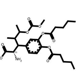 CCCCC(=O)Oc1ccc(C(C(C)C(C)OC(=O)OC)[C@H](N)C(=O)O)cc1OC(=O)CCCC